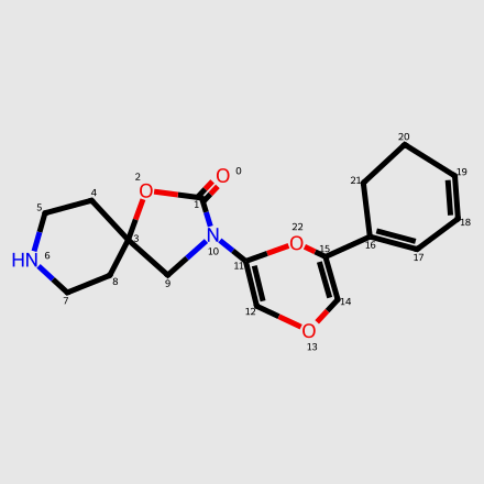 O=C1OC2(CCNCC2)CN1C1=COC=C(C2=CC=CCC2)O1